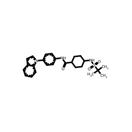 CC(C)(C)S(=O)(=O)NC1CCC(C(=O)Nc2ccc(-n3ccc4ccccc43)cc2)CC1